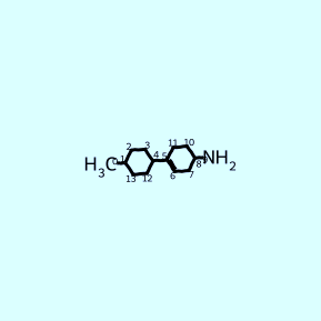 CC1CCC(C2=CCC(N)CC2)CC1